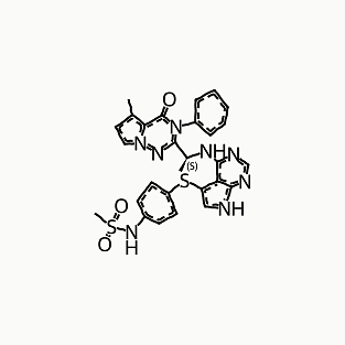 Cc1ccn2nc([C@H](C)Nc3ncnc4[nH]cc(Sc5ccc(NS(C)(=O)=O)cc5)c34)n(-c3ccccc3)c(=O)c12